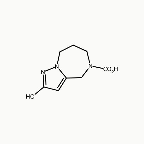 O=C(O)N1CCCn2nc(O)cc2C1